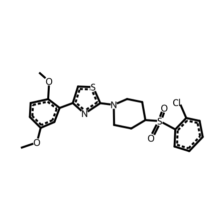 COc1ccc(OC)c(-c2csc(N3CCC(S(=O)(=O)c4ccccc4Cl)CC3)n2)c1